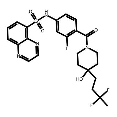 CC(F)(F)CCC1(O)CCN(C(=O)c2ccc(NS(=O)(=O)c3cccc4nccnc34)cc2F)CC1